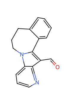 O=Cc1c2n(c3cccnc13)CCCc1ccccc1-2